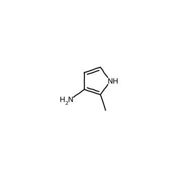 Cc1[nH]ccc1N